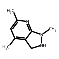 Cc1cc(C)c2c(n1)N(C)NC2